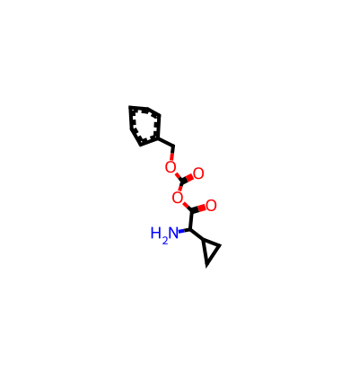 NC(C(=O)OC(=O)OCc1ccccc1)C1CC1